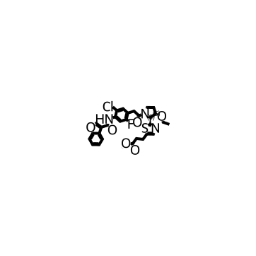 CCO[C@H]1CCN(C(=O)Cc2cc(Cl)c(NC(=O)c3coc4ccccc34)cc2F)[C@@H]1c1ncc(CCC(=O)OC)s1